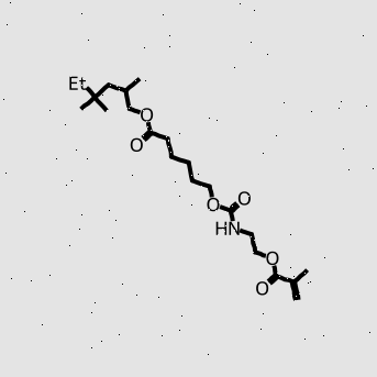 C=C(C)C(=O)OCCNC(=O)OCCCCCC(=O)OCC(C)CC(C)(C)CC